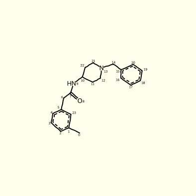 Cc1cccc(CC(=O)NC2CCN(Cc3ccccc3)CC2)c1